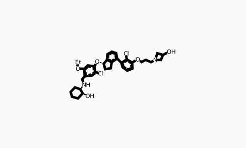 CCOc1cc(O[C@H]2CCc3c(-c4cccc(OCCCN5CC(O)C5)c4Cl)cccc32)c(Cl)cc1CN[C@@H]1CCCC[C@@H]1O